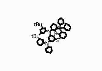 CC(C)(C)c1cc(N2c3cc(N(c4ccccc4)c4ccccc4)cc4c3B3c5c(cccc5[Si](c5ccccc5)(c5ccccc5)c5cccc2c53)S4)cc(C(C)(C)C)c1